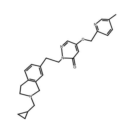 Cc1ccc(COc2cnn(CCc3ccc4c(c3)CN(CC3CC3)CC4)c(=O)c2)nc1